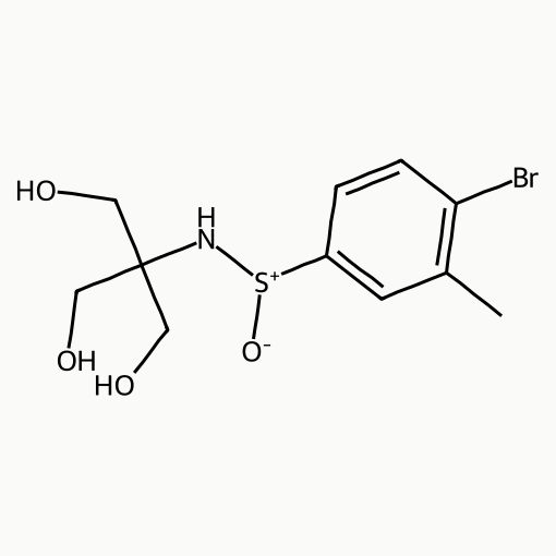 Cc1cc([S+]([O-])NC(CO)(CO)CO)ccc1Br